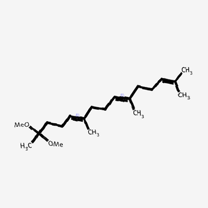 COC(C)(CC/C=C(\C)CC/C=C(\C)CCC=C(C)C)OC